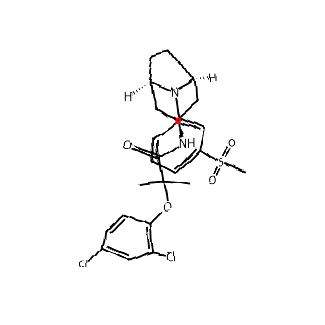 CC(C)(Oc1ccc(Cl)cc1Cl)C(=O)N[C@H]1C[C@H]2CC[C@@H](C1)N2c1cccc(S(C)(=O)=O)c1